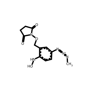 CN=[N+]=Nc1ccc(NO)c(CON2C(=O)CCC2=O)c1